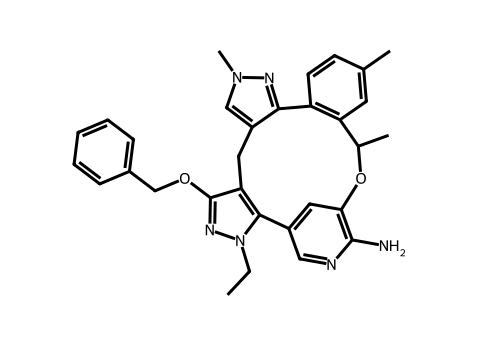 CCn1nc(OCc2ccccc2)c2c1-c1cnc(N)c(c1)OC(C)c1cc(C)ccc1-c1nn(C)cc1C2